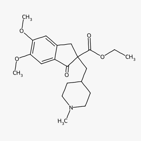 CCOC(=O)C1(CC2CCN(C)CC2)Cc2cc(OC)c(OC)cc2C1=O